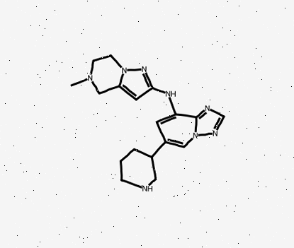 CN1CCn2nc(Nc3cc(C4CCCNC4)cn4ncnc34)cc2C1